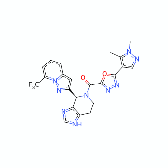 Cc1c(-c2nnc(C(=O)N3CCc4[nH]cnc4[C@H]3c3cc4cccc(C(F)(F)F)n4n3)o2)cnn1C